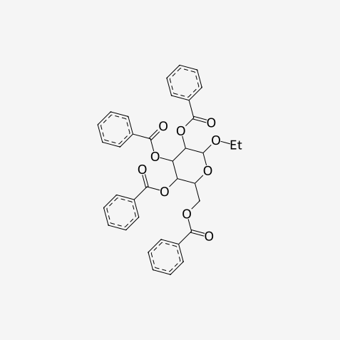 CCOC1OC(COC(=O)c2ccccc2)C(OC(=O)c2ccccc2)C(OC(=O)c2ccccc2)C1OC(=O)c1ccccc1